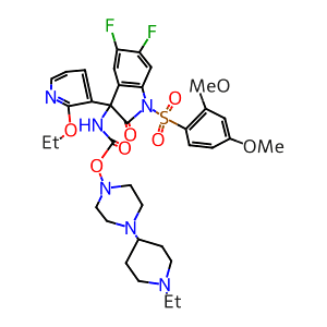 CCOc1ncccc1C1(NC(=O)ON2CCN(C3CCN(CC)CC3)CC2)C(=O)N(S(=O)(=O)c2ccc(OC)cc2OC)c2cc(F)c(F)cc21